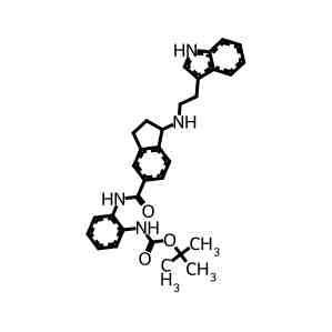 CC(C)(C)OC(=O)Nc1ccccc1NC(=O)c1ccc2c(c1)CCC2NCCc1c[nH]c2ccccc12